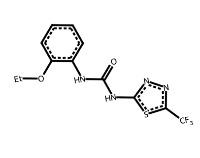 CCOc1ccccc1NC(=O)Nc1nnc(C(F)(F)F)s1